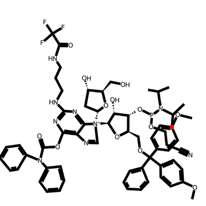 COc1ccc(C(OC[C@H]2O[C@@H]([N+]3([C@@H]4C[C@H](O)[C@@H](CO)O4)C=Nc4c(OC(=O)N(c5ccccc5)c5ccccc5)nc(NCCCNC(=O)C(F)(F)F)nc43)[C@H](O)[C@@H]2OP(OCCC#N)N(C(C)C)C(C)C)(c2ccccc2)c2ccc(OC)cc2)cc1